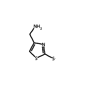 NCc1csc([S])n1